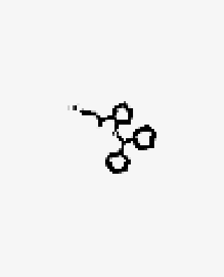 O=C(CCO)c1ccccc1OC(c1ccccc1)c1ccccc1